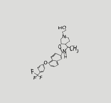 CC(NC(=O)c1ccc2c(Oc3ccc(C(F)(F)F)cc3)cccc2c1)C1CCN(CCO)CC1